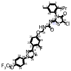 Cc1ccc(C(C)C)c(N2C(=O)C(Cl)S/C2=N\C(=O)NCOc2ccc(-c3ncn(-c4ccc(OC(F)(F)F)cc4)n3)c(F)c2)c1